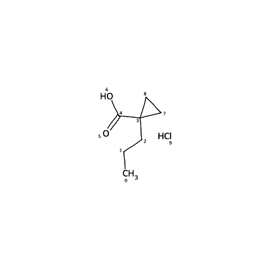 CCCC1(C(=O)O)CC1.Cl